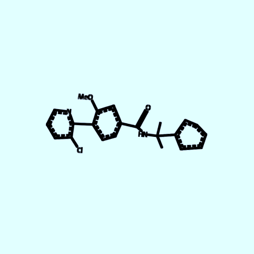 COc1cc(C(=O)NC(C)(C)c2ccccc2)ccc1-c1ncccc1Cl